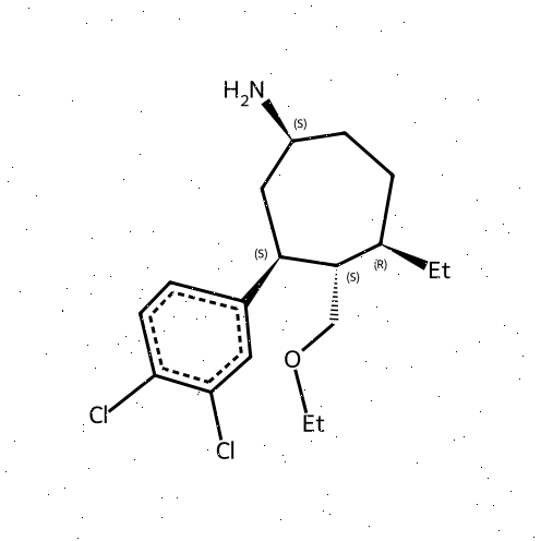 CCOC[C@H]1[C@H](CC)CC[C@H](N)C[C@@H]1c1ccc(Cl)c(Cl)c1